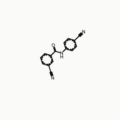 N#Cc1ccc(NC(=O)c2cccc(C#N)c2)cc1